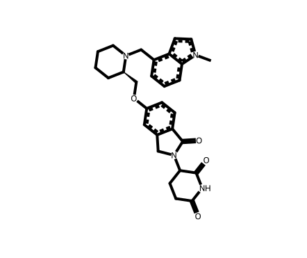 Cn1ccc2c(CN3CCCC[C@@H]3COc3ccc4c(c3)CN(C3CCC(=O)NC3=O)C4=O)cccc21